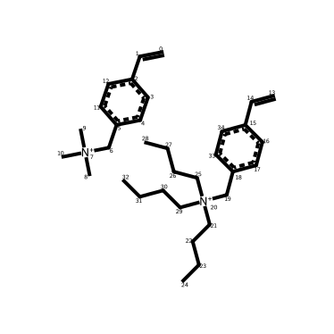 C=Cc1ccc(C[N+](C)(C)C)cc1.C=Cc1ccc(C[N+](CCCC)(CCCC)CCCC)cc1